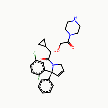 O=C(CO[C@H](C(=O)N1CC=C[C@]1(c1ccccc1)c1cc(F)ccc1F)C1CC1)N1CCNCC1